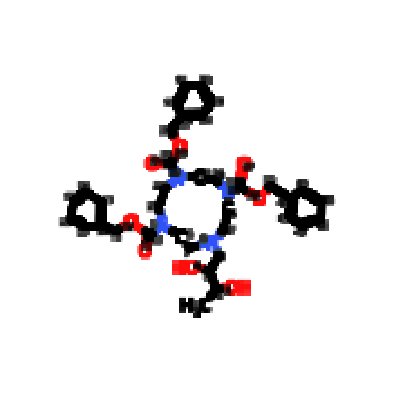 CC(O)C(O)CN1CCN(C(=O)OCc2ccccc2)CCN(C(=O)OCc2ccccc2)CCN(C(=O)OCc2ccccc2)CC1